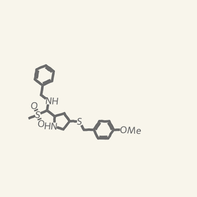 COc1ccc(CSC2CNC(C(NCc3ccccc3)S(C)(=O)=O)C2)cc1